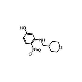 O=[N+]([O-])c1ccc(O)cc1NCC1CCOCC1